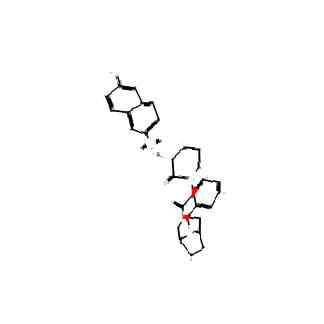 O=C(CN1CCC[C@H](NS(=O)(=O)c2ccc3cc(Br)ccc3c2)C1=O)N1CC2CCC(C1)N2Cc1ccccc1